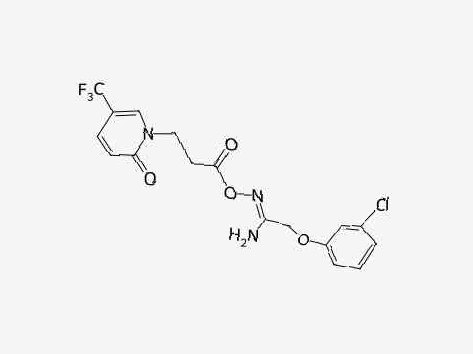 N/C(COc1cccc(Cl)c1)=N\OC(=O)CCn1cc(C(F)(F)F)ccc1=O